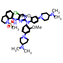 COc1cc(N2CCC(N(C)C)CC2)ccc1N(c1ncc(Cl)c(Nc2cccc3c2N(S(C)(=O)=O)CCC3)n1)c1ccc(N2CCC(N(C)C)CC2)cc1OC